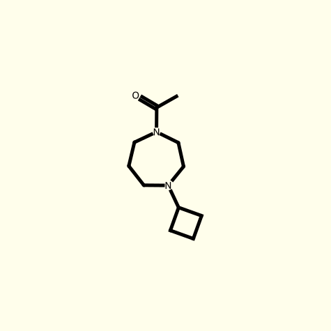 CC(=O)N1CCCN(C2CCC2)CC1